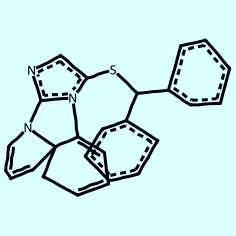 C1=CCC23C=CC=CN2c2ncc(SC(c4ccccc4)c4ccccc4)n2C3=C1